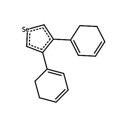 C1=CCCC(c2c[se]cc2C2=CC=CCC2)=C1